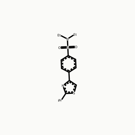 CCN(CC)S(=O)(=O)c1ccc(-c2csc(C(C)C)n2)cc1